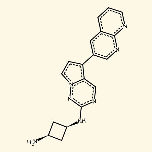 N[C@H]1C[C@@H](Nc2ncc3c(-c4cnc5ncccc5c4)ccn3n2)C1